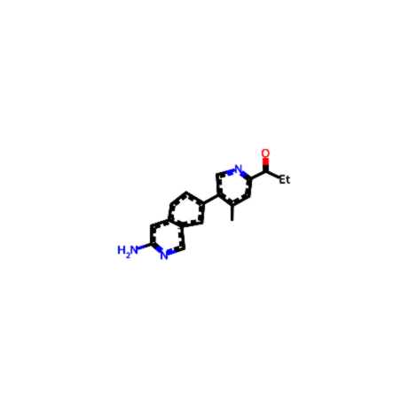 CCC(=O)c1cc(C)c(-c2ccc3cc(N)ncc3c2)cn1